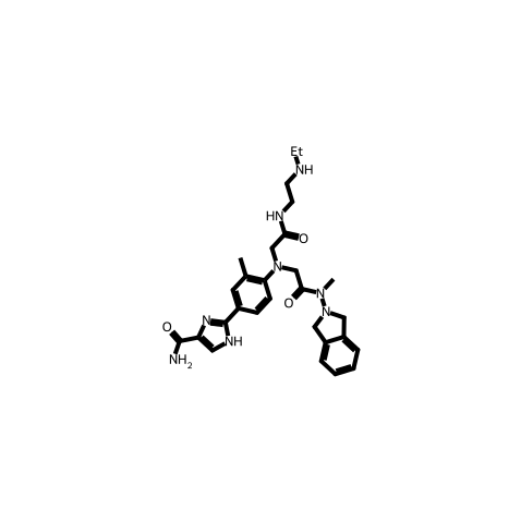 CCNCCNC(=O)CN(CC(=O)N(C)N1Cc2ccccc2C1)c1ccc(-c2nc(C(N)=O)c[nH]2)cc1C